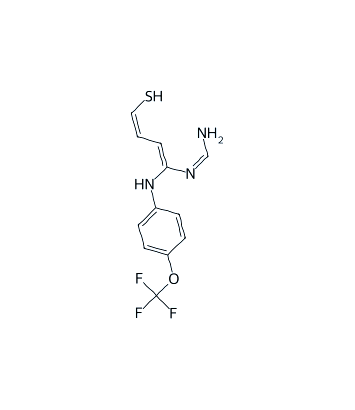 N\C=N/C(=C/C=C\S)Nc1ccc(OC(F)(F)F)cc1